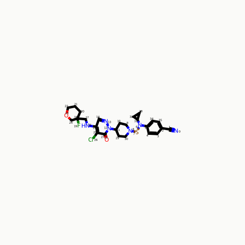 N#Cc1ccc(N(SN2CCC(n3ncc(NCC4(F)CCCOC4)c(Cl)c3=O)CC2)C2CC2)cc1